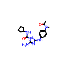 CC(=O)N(C)c1ccc(Nc2nc(N)n(C(=O)NC3CCCC3)n2)cc1